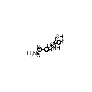 C[C@@H](c1ccc(-c2cncc(C(N)=O)c2)cc1)C1NCC(CCCO)(c2ccc(F)cc2)OC1=O